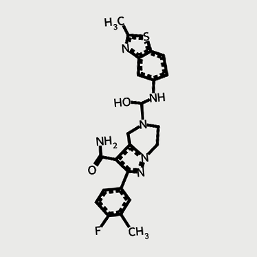 Cc1nc2cc(NC(O)N3CCn4nc(-c5ccc(F)c(C)c5)c(C(N)=O)c4C3)ccc2s1